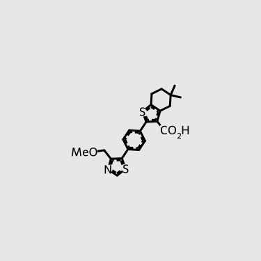 COCc1ncsc1-c1ccc(-c2sc3c(c2C(=O)O)CC(C)(C)CC3)cc1